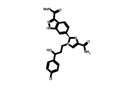 CNC(=O)c1n[nH]c2cc([C@H]3SC(C(N)=O)=CN3CCC(O)c3ccc(Cl)cc3)ccc12